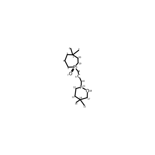 CC1(C)CCCP(=O)(CCCP2CCC(C)(C)CO2)CC1